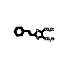 CCOC(=O)C1OC(C=Cc2ccccc2)OC1C(=O)OCC